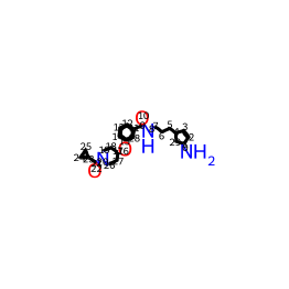 NC1C=CC(CCCNC(=O)c2cccc(OC3CCN(C(=O)C4CC4)CC3)c2)C1